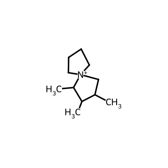 CC1C[N+]2(CCCC2)C(C)C1C